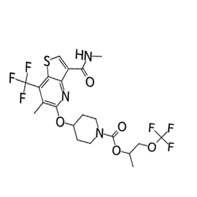 CNC(=O)c1csc2c(C(F)(F)F)c(C)c(OC3CCN(C(=O)OC(C)COC(F)(F)F)CC3)nc12